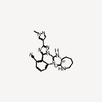 Cn1cc(-c2nc3c4c(C#N)cccc4nc(N[C@@H]4CCCCNC4=O)n3n2)cn1